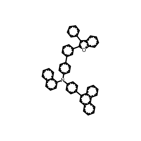 c1ccc(-c2c(-c3cccc(-c4ccc(N(c5ccc(-c6cc7ccccc7c7ccccc67)cc5)c5cccc6ccccc56)cc4)c3)oc3ccccc23)cc1